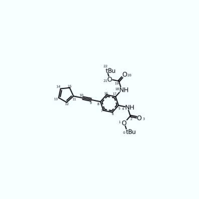 CC(C)(C)OC(=O)Nc1ccc(C#CC2=CC=CC2)cc1NC(=O)OC(C)(C)C